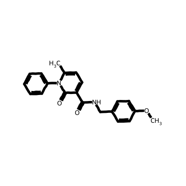 COc1ccc(CNC(=O)c2ccc(C)n(-c3ccccc3)c2=O)cc1